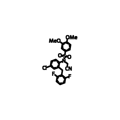 COc1ccc(S(=O)(=O)N(CC#N)c2ccc(Cl)cc2Cc2c(F)cccc2F)cc1OC